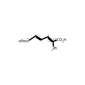 CCCCC/C=C/C=C(/C(=O)O)C(C)C